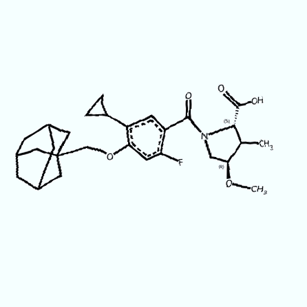 CO[C@H]1CN(C(=O)c2cc(C3CC3)c(OCC34CC5CC(CC(C5)C3)C4)cc2F)[C@H](C(=O)O)C1C